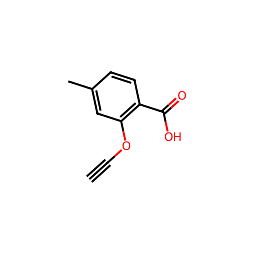 C#COc1cc(C)ccc1C(=O)O